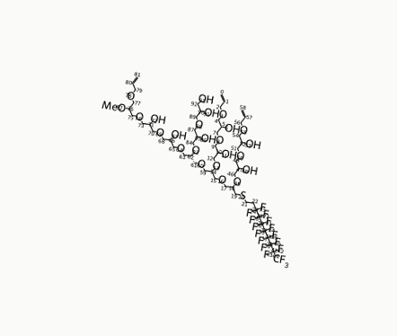 C=CCOCC(O)COCC(O)COC(COCC(CSCCC(F)(F)C(F)(F)C(F)(F)C(F)(F)C(F)(F)C(F)(F)C(F)(F)C(F)(F)F)OCC(O)COCC(O)COCC=C)COC[C@H](COCC(O)COCC(O)COCC(COCC=C)OC)OCC(O)COCC(O)CO